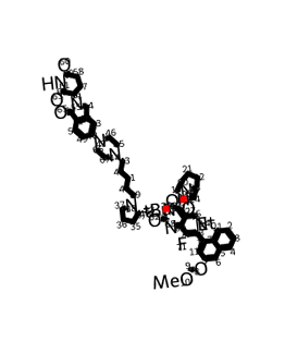 CCc1cccc2cc(OCOC)cc(-c3ncc4c(N5CC6CCC(C5)N6C(=O)OC(C)(C)C)nc(OC[C@@H]5CCCN5CCCCCN5CCN(c6ccc7c(c6)CN([C@H]6CCC(=O)NC6=O)C7=O)CC5)nc4c3F)c12